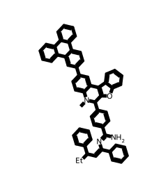 CCC(/C=C(\N=C(/N)c1ccc(C2c3oc4ccccc4c3-c3cc(-c4ccc5c6ccccc6c6ccccc6c5c4)ccc3N2C)cc1)C1C=CC=CC1)c1ccccc1